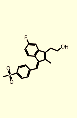 CC1=C(CCO)c2cc(F)ccc2/C1=C\c1ccc(S(C)(=O)=O)cc1